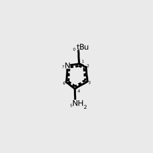 CC(C)(C)c1ccc(N)cn1